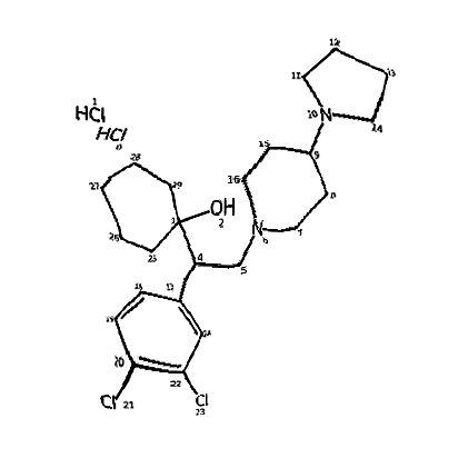 Cl.Cl.OC1(C(CN2CCC(N3CCCC3)CC2)c2ccc(Cl)c(Cl)c2)CCCCC1